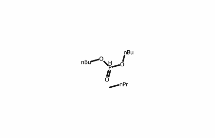 CCCC.CCCCO[PH](=O)OCCCC